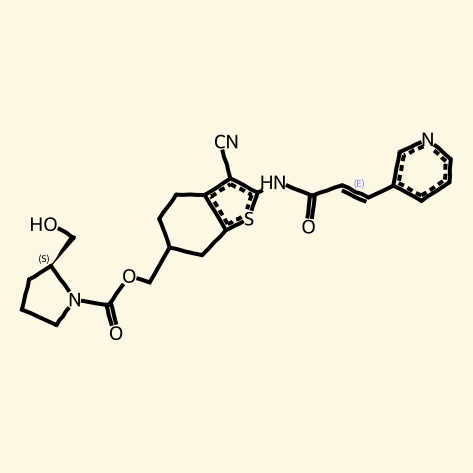 N#Cc1c(NC(=O)/C=C/c2cccnc2)sc2c1CCC(COC(=O)N1CCC[C@H]1CO)C2